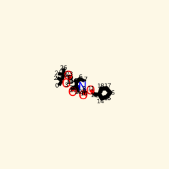 CC1(C)OB(C2=CCN(C(=O)OCc3ccccc3)C23COC3)OC1(C)C